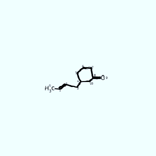 CC=CCC1CCCC(=O)C1